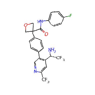 NC(c1cc(C(F)(F)F)ncc1-c1ccc(C2(C(=O)Nc3ccc(F)cc3)COC2)cc1)C(F)(F)F